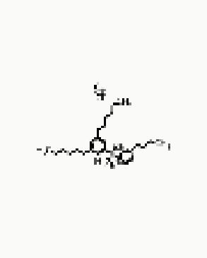 CCCCCCc1cc(CCCCCC)cc([Si](C)(C)[C]2([Ti+3])C=CC(CCCC)=C2)c1.[Cl-].[Cl-].[Cl-]